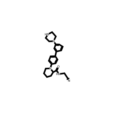 N#CCNC(=O)C1CCCCN1c1ccc(-c2cccc(N3CCNCC3)c2)cc1